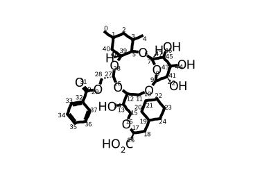 CC1CC(C)C2O[C@@H]3OC(OCC([C@H](O)CO[C@@H](CC4CCCCC4)C(=O)O)O[C@H](COC(=O)c4ccccc4)O[C@@H]2C1)[C@@H](O)C(O)C3O